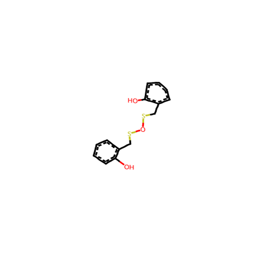 Oc1ccccc1CSOSCc1ccccc1O